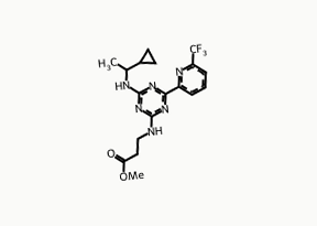 COC(=O)CCNc1nc(NC(C)C2CC2)nc(-c2cccc(C(F)(F)F)n2)n1